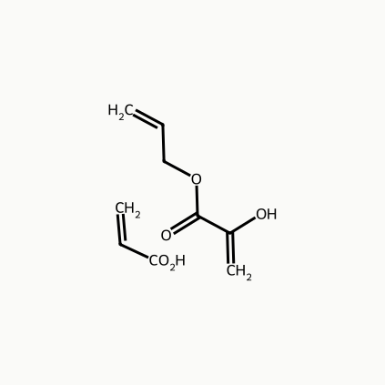 C=CC(=O)O.C=CCOC(=O)C(=C)O